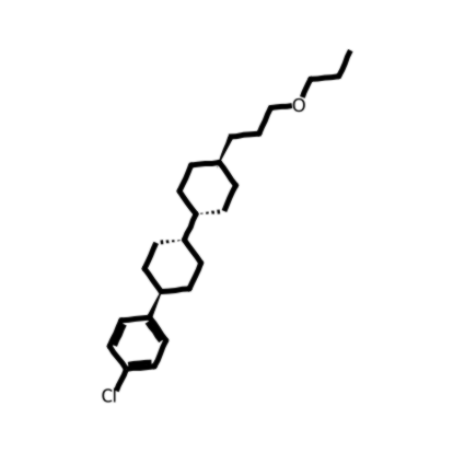 CCCOCCC[C@H]1CC[C@H]([C@H]2CC[C@H](c3ccc(Cl)cc3)CC2)CC1